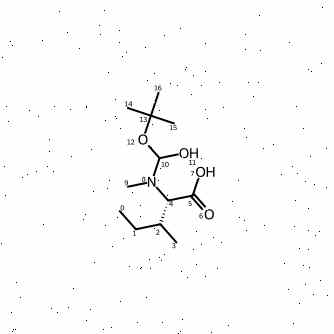 CCC(C)[C@@H](C(=O)O)N(C)C(O)OC(C)(C)C